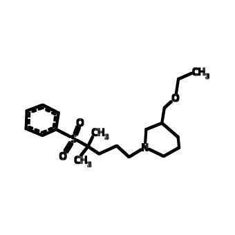 CCOCC1CCCN(CCCC(C)(C)S(=O)(=O)c2ccccc2)C1